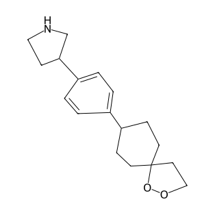 c1cc(C2CCNC2)ccc1C1CCC2(CCOO2)CC1